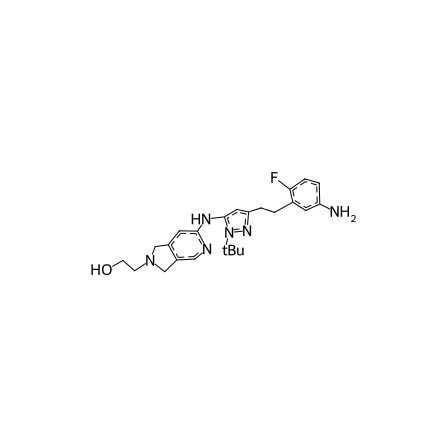 CC(C)(C)n1nc(CCc2cc(N)ccc2F)cc1Nc1cc2c(cn1)CN(CCO)C2